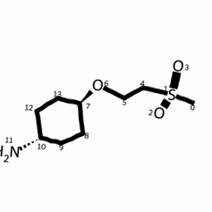 CS(=O)(=O)CCO[C@H]1CC[C@H](N)CC1